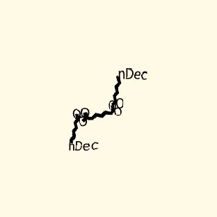 CCCCCCCCCCCCCCCC(=O)OC(=O)CCCCCC(=O)OC(=O)CCCCCCCCCCCCCCC